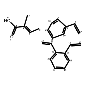 C/C=C(\C)C(=O)O.C=Cc1ccccc1.C=Cc1ccccc1C=C